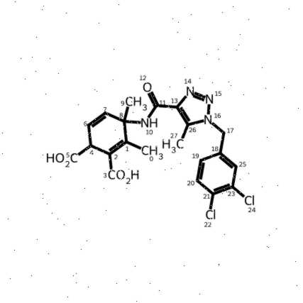 CC1=C(C(=O)O)C(C(=O)O)C=CC1(C)NC(=O)c1nnn(Cc2ccc(Cl)c(Cl)c2)c1C